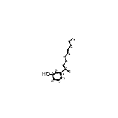 CCCCCCCCC(C)c1cccc(O)c1